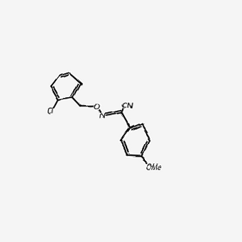 COc1ccc(C(C#N)=NOCc2ccccc2Cl)cc1